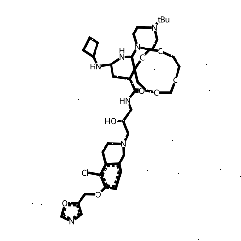 CC(C)(C)N1CCN(C2NC(NC3CCC3)CC(C(=O)NC[C@H](O)CN3CCc4c(ccc(OCc5cnco5)c4Cl)C3)C23CCCCCCCCCC3)CC1